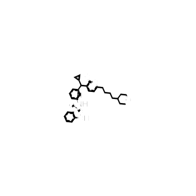 O=c1oc(CCCCC2CCOCC2)cc(O)c1C(c1cccc(NS(=O)(=O)c2ccccc2O)c1)C1CC1